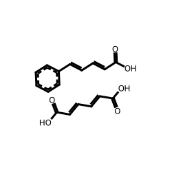 O=C(O)C=CC=CC(=O)O.O=C(O)C=CC=Cc1ccccc1